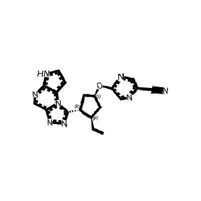 CC[C@@H]1C[C@H](Oc2cnc(C#N)cn2)C[C@H]1c1nnc2cnc3[nH]ccc3n12